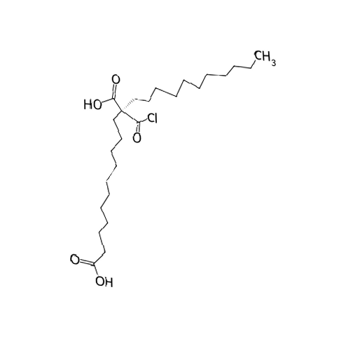 CCCCCCCCCCC[C@](CCCCCCCCCCC(=O)O)(C(=O)O)C(=O)Cl